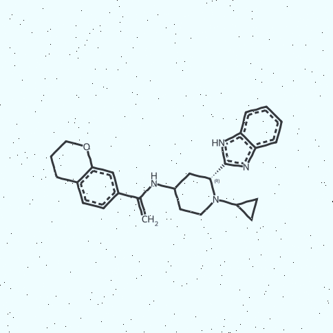 C=C(NC1CCN(C2CC2)[C@@H](c2nc3ccccc3[nH]2)C1)c1ccc2c(c1)OCCC2